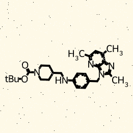 Cc1cc(C)c2nc(C)n(Cc3ccc(NCC4CCN(C(=O)OC(C)(C)C)CC4)cc3)c2n1